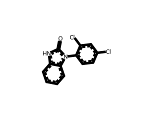 O=c1[nH]c2ccccc2n1-c1ccc(Cl)cc1Cl